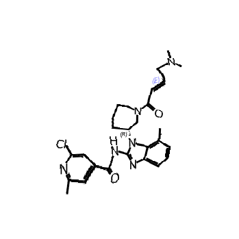 Cc1cc(C(=O)Nc2nc3cccc(C)c3n2[C@@H]2CCCCN(C(=O)/C=C/CN(C)C)C2)cc(Cl)n1